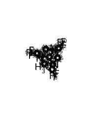 CC12C=CC(C(F)(F)F)=CC1N=C(c1ccccc1)C(C1=CC(c3nc4ccc(C(F)(F)F)cc4nc3-c3ccccc3)CC(c3nc4ccc(C(F)(F)F)cc4nc3-c3ccccc3)=C1)=N2